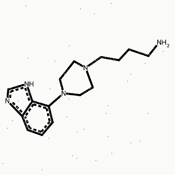 NCCCCN1CCN(c2cccc3nc[nH]c23)CC1